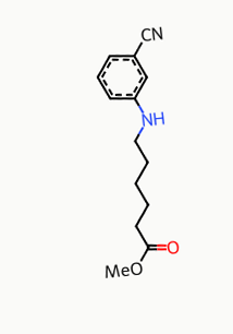 COC(=O)CCCCCNc1cccc(C#N)c1